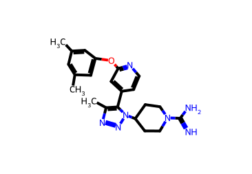 Cc1cc(C)cc(Oc2cc(-c3c(C)nnn3C3CCN(C(=N)N)CC3)ccn2)c1